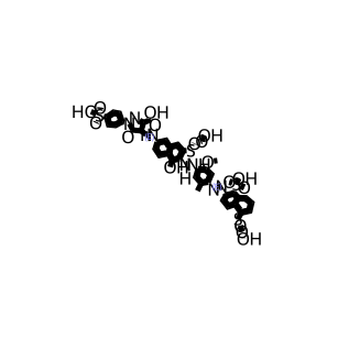 COc1cc(/N=N/c2ccc3c(SOOO)cccc3c2S(=O)(=O)O)c(C)cc1NNc1c(SOOO)cc2cc(/N=N/C3C(=O)N(c4ccc(S(=O)(=O)O)cc4)N=C3C(=O)O)ccc2c1O